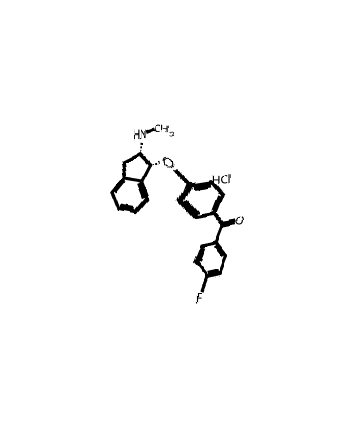 CN[C@H]1Cc2ccccc2[C@H]1Oc1ccc(C(=O)c2ccc(F)cc2)cc1.Cl